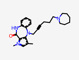 Cc1cn(C)c2c1N(CC#CCCCN1CCCCCC1)c1ccccc1NC2=O